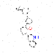 C[Si](C)(C)C1CCC=C(C2=CC3=C(CC2)OC2C3CCCC2C2CNc3ccccc3C2)C1